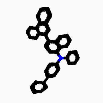 c1ccc(-c2ccc(N(c3ccccc3)c3ccc(-c4cc5ccccc5c5ccccc45)c4ccccc34)cc2)cc1